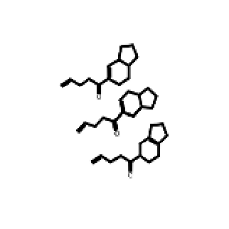 C=CCCC(=O)C1=CC2CCCC2CC1.C=CCCC(=O)C1=CCC2CCCC2C1.C=CCCC(=O)C1CCC2=C(CCC2)C1